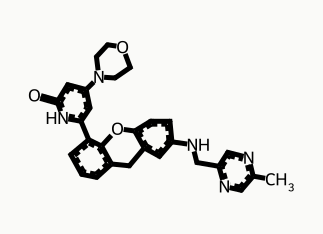 Cc1cnc(CNc2ccc3c(c2)Cc2cccc(-c4cc(N5CCOCC5)cc(=O)[nH]4)c2O3)cn1